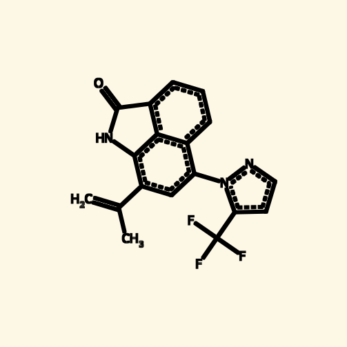 C=C(C)c1cc(-n2nccc2C(F)(F)F)c2cccc3c2c1NC3=O